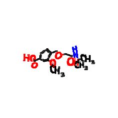 COc1cc(C(=O)O)ccc1COCC(O)NC(C)C